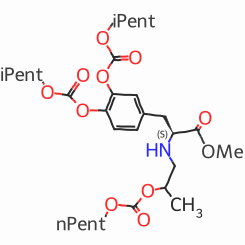 CCCCCOC(=O)OC(C)CN[C@@H](Cc1ccc(OC(=O)OC(C)CCC)c(OC(=O)OC(C)CCC)c1)C(=O)OC